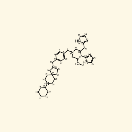 COCCN(Cc1ccc(CN2CCC3(CCN(C4CCCCC4)CC3)C2)cc1)CC(Cc1ncc[nH]1)Cc1ncc[nH]1